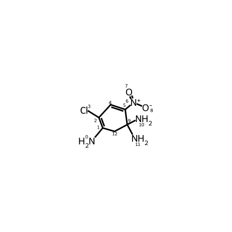 NC1=C(Cl)C=C([N+](=O)[O-])C(N)(N)C1